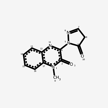 Cn1c(=O)c(N2N=CCC2=O)nc2ccccc21